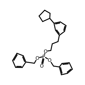 O=P(OCCCc1cccc(C2CCCC2)c1)(OCc1ccccc1)OCc1ccccc1